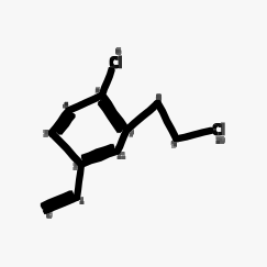 C=Cc1ccc(Cl)c(CCCl)c1